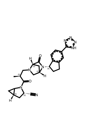 C[C@@H](CN1C[C@@H]2C[C@H]1C(=O)N2[C@H]1CCc2cc(-c3nnn[nH]3)ccc21)C(=O)N1C2C[C@H]2C[C@H]1C#N